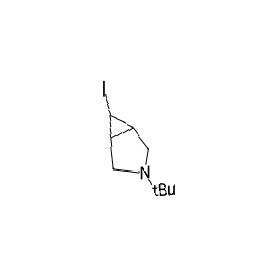 CC(C)(C)N1CC2C(I)C2C1